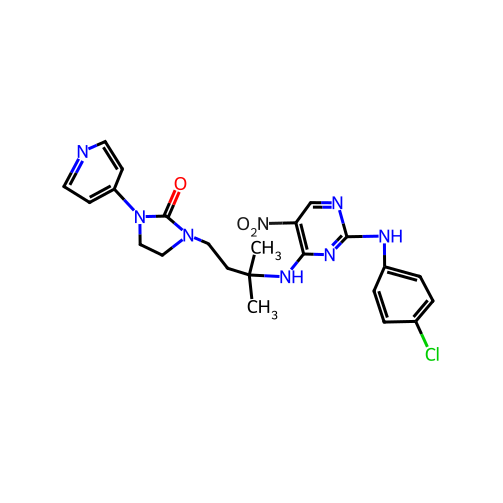 CC(C)(CCN1CCN(c2ccncc2)C1=O)Nc1nc(Nc2ccc(Cl)cc2)ncc1[N+](=O)[O-]